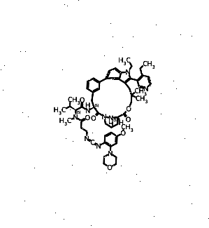 CCc1ccncc1-c1c2c3cc(ccc3n1CC)-c1cccc(c1)C[C@H](NC(=O)[C@H](C(C)C)N(C)C(=O)CCN=C=Nc1ccc(OC)cc1N1CCOCC1)C(=O)N1CCC[C@H](N1)C(=O)OCC(C)(C)C2